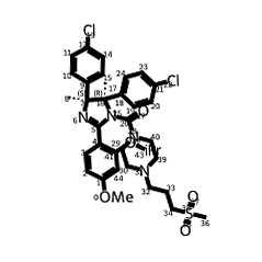 COc1ccc(C2=N[C@@](C)(c3ccc(Cl)cc3)[C@@](C)(c3ccc(Cl)cc3)N2C(=O)N2CCN(CCCS(C)(=O)=O)CC2)c(OC(C)C)c1